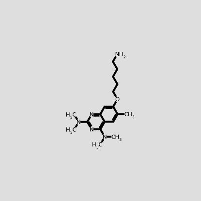 Cc1cc2c(N(C)C)nc(N(C)C)nc2cc1OCCCCCN